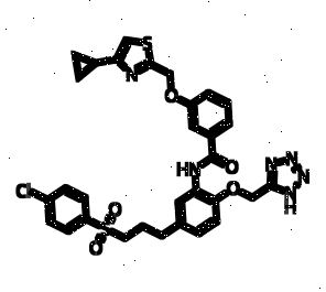 O=C(Nc1cc(CCCS(=O)(=O)c2ccc(Cl)cc2)ccc1OCc1nnn[nH]1)c1cccc(OCc2nc(C3CC3)cs2)c1